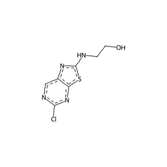 OCCNc1nc2cnc(Cl)nc2s1